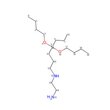 CCCCO[Si](CCC)(CCCNCCN)OCCCC